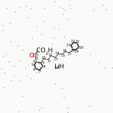 O=C(O)C1OC1c1ccccc1CCCCCCCCc1ccccc1.[LiH]